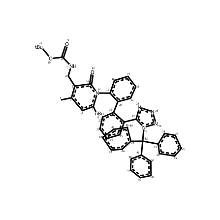 CCCCc1cc(C)c(CNC(=O)OC(C)(C)C)c(=O)n1-c1ccccc1-c1ccccc1-c1nnnn1C(c1ccccc1)(c1ccccc1)c1ccccc1